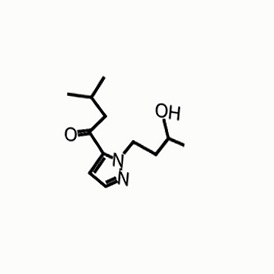 CC(C)CC(=O)c1ccnn1CCC(C)O